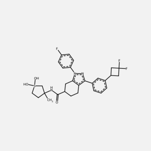 CC1(NC(=O)C2CCc3c(-c4cccc(C5CC(F)(F)C5)c4)nn(-c4ccc(F)cc4)c3C2)CCS(O)(O)C1